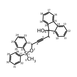 C[Si](OCC#CCC1(O)c2ccccc2-c2ccccc21)(c1ccccc1)c1ccccc1